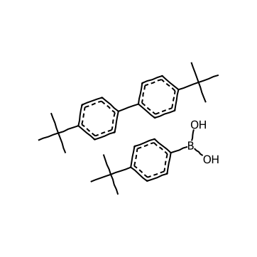 CC(C)(C)c1ccc(-c2ccc(C(C)(C)C)cc2)cc1.CC(C)(C)c1ccc(B(O)O)cc1